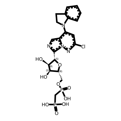 O=P(O)(O)CP(=O)(O)OC[C@H]1O[C@@H](c2ncc3c(N4CCc5ccccc54)cc(Cl)nn23)[C@H](O)[C@@H]1O